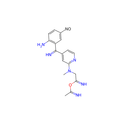 CC(=N)OC(=N)CN(C)c1cc(C(=N)c2cc(N=O)ccc2N)ccn1